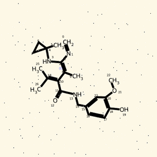 C=N/C(NC1(C)CC1)=C(\C)C(C(=O)NCc1ccc(O)c(OC)c1)=C(C)C